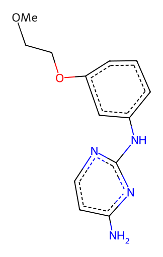 COCCOc1cccc(Nc2nccc(N)n2)c1